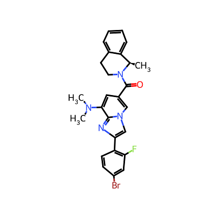 C[C@@H]1c2ccccc2CCN1C(=O)c1cc(N(C)C)c2nc(-c3ccc(Br)cc3F)cn2c1